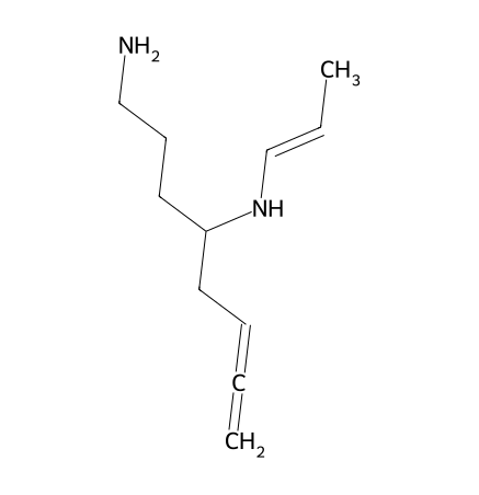 C=C=CCC(CCCN)NC=CC